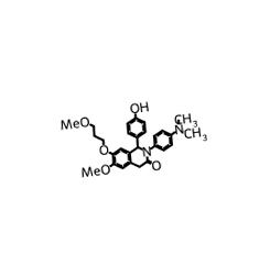 COCCCOc1cc2c(cc1OC)CC(=O)N(c1ccc(N(C)C)cc1)C2c1ccc(O)cc1